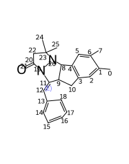 Cc1cc2c(cc1C)C1C(C2)/C(=C\c2ccccc2)N2C(=O)CC(C)(C)N12